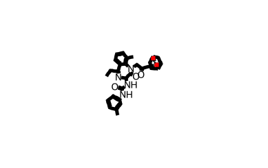 CCC1=NC(NC(=O)Nc2cccc(C)c2)C(=O)N(CC(=O)N2CC3CCC(CC3)C2)c2c(C)cccc21